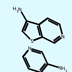 Nc1cccnc1.Nc1csc2cnccc12